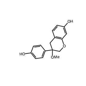 COC1(c2ccc(O)cc2)COc2cc(O)ccc2C1